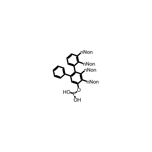 CCCCCCCCCc1cccc(-c2c(-c3ccccc3)cc(OP(O)O)c(CCCCCCCCC)c2CCCCCCCCC)c1CCCCCCCCC